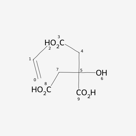 C=CC.O=C(O)CC(O)(CC(=O)O)C(=O)O